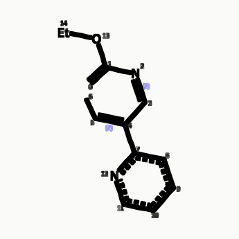 C=C(/N=C\C(=C/C)c1ccccn1)OCC